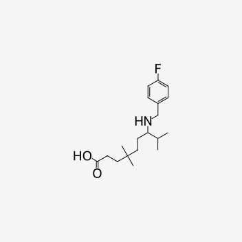 CC(C)C(CCC(C)(C)CCC(=O)O)NCc1ccc(F)cc1